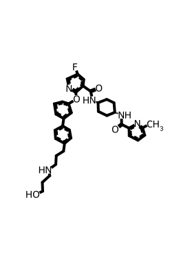 Cc1cccc(C(=O)N[C@H]2CC[C@@H](NC(=O)c3cc(F)cnc3Oc3cccc(-c4ccc(CCCNCCCO)cc4)c3)CC2)n1